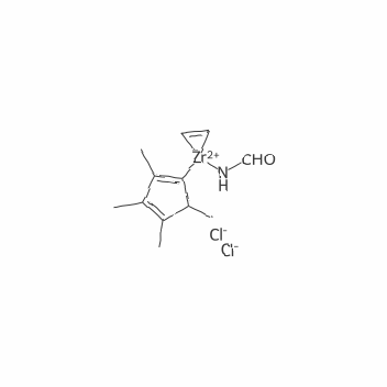 CC1=C(C)C(C)[C]([Zr+2]2([NH]C=O)[CH]=[CH]2)=C1C.[Cl-].[Cl-]